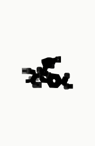 COC(=O)c1ccc(CN([C@@H](CO)[C@H](C)O)S(=O)(=O)c2ccc(Cl)s2)cc1